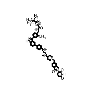 Cc1cc(-c2n[nH]c3ccc(-c4ccc(NCCNC5CCN(Cc6ccc7c(c6)CN(C6CCC(=O)NC6=O)C7=O)CC5)cc4)cc23)ccc1CNC(=O)c1nc(C(C)(C)C)no1